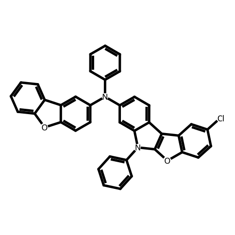 Clc1ccc2oc3c(c2c1)c1ccc(N(c2ccccc2)c2ccc4oc5ccccc5c4c2)cc1n3-c1ccccc1